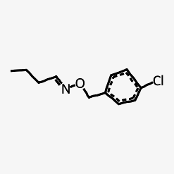 CCCC=NOCc1ccc(Cl)cc1